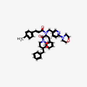 Cc1ccc(C=CC(=O)N(Cc2ccc(N3CCOCC3)nc2)C(Cc2ccccc2)C(=O)N2CCC(Cc3ccccc3)CC2)cc1